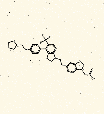 O=C(O)C[C@@H]1COc2cc(CCC3CCc4c3ccc(C(F)(F)F)c4-c3ccc(OC[C@@H]4CCCO4)cc3)ccc21